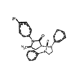 C=C1CC(P2(=O)N(c3ccccc3)CCN2c2ccccc2)C(=O)N1c1ccc(Br)cc1